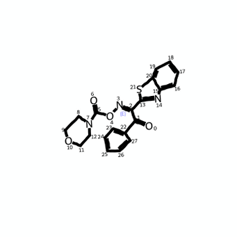 O=C(/C(=N\OC(=O)N1CCOCC1)c1nc2ccccc2s1)c1ccccc1